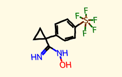 N=C(NO)C1(c2ccc(S(F)(F)(F)(F)F)cc2)CC1